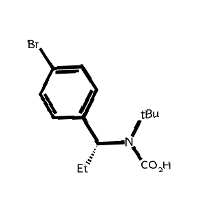 CC[C@H](c1ccc(Br)cc1)N(C(=O)O)C(C)(C)C